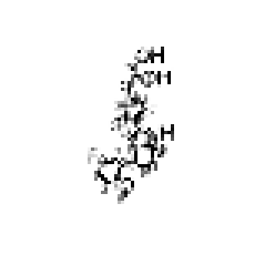 COc1ccc(F)cc1-c1ccnc2[nH]c(C3=CCN(CC(O)CO)CC3(C)C)cc12